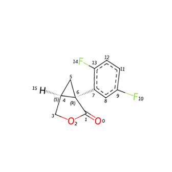 O=C1OC[C@H]2C[C@@]12c1cc(F)ccc1F